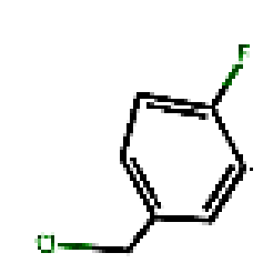 Fc1[c]cc(CCl)cc1